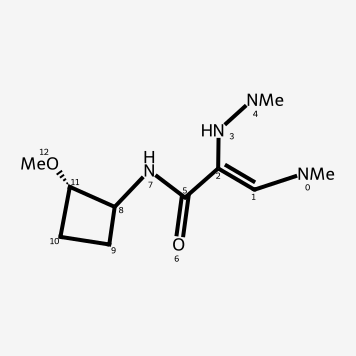 CN/C=C(\NNC)C(=O)NC1CC[C@@H]1OC